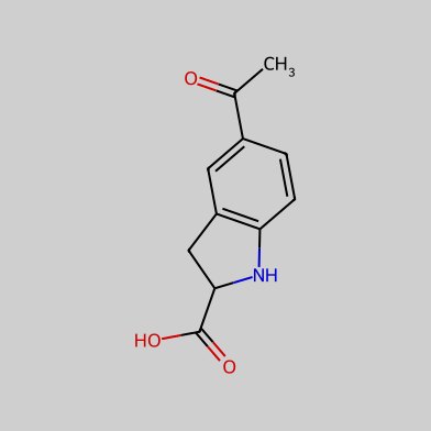 CC(=O)c1ccc2c(c1)CC(C(=O)O)N2